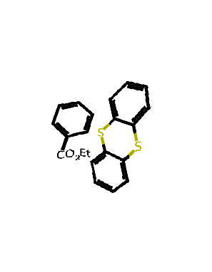 CCOC(=O)c1ccccc1.c1ccc2c(c1)Sc1ccccc1S2